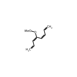 C=C/C=C\C(=C/C=C)OOC